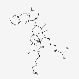 C/C=C(\C(=O)[C@H](Cc1ccccc1)C(C)C)[C@@H](Cc1ccccc1)C(=O)C(C)(C)[C@@H](CCCNC(=N)N)C(=O)N[C@@H](CCCCN)C(C)=O